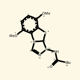 COc1ccc(OC)c2c1SC1N(NC(=O)C(C)(C)C)N=CN21